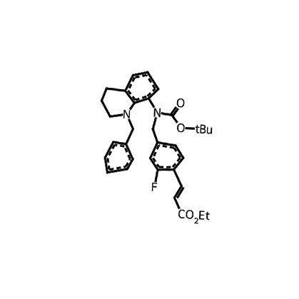 CCOC(=O)/C=C/c1ccc(CN(C(=O)OC(C)(C)C)c2cccc3c2N(Cc2ccccc2)CCC3)cc1F